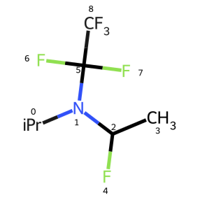 CC(C)N(C(C)F)C(F)(F)C(F)(F)F